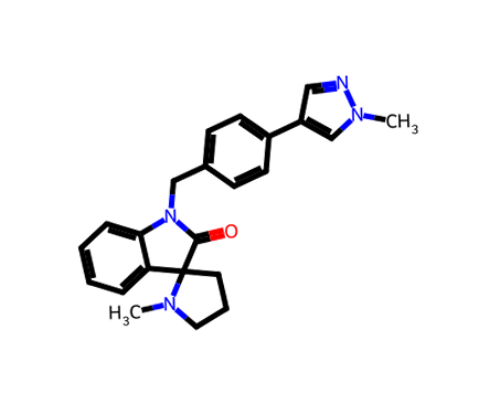 CN1CCCC12C(=O)N(Cc1ccc(-c3cnn(C)c3)cc1)c1ccccc12